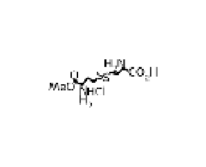 COC(=O)C(N)CCSSCCC(N)C(=O)O.Cl